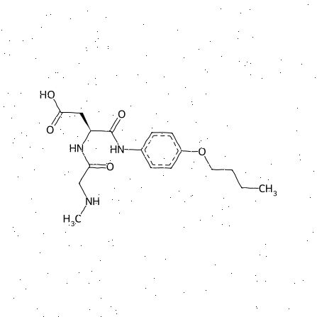 CCCCOc1ccc(NC(=O)[C@H](CC(=O)O)NC(=O)CNC)cc1